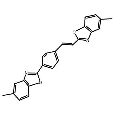 Cc1[c]c2nc(C=Cc3ccc(-c4nc5cc(C)ccc5o4)cc3)oc2cc1